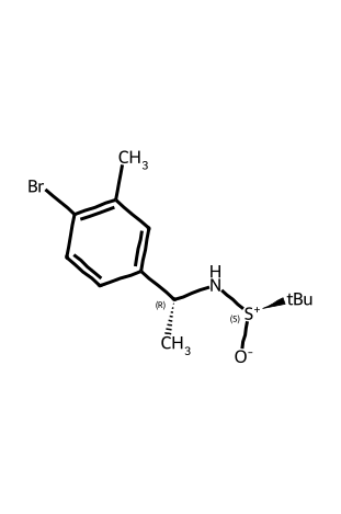 Cc1cc([C@@H](C)N[S@+]([O-])C(C)(C)C)ccc1Br